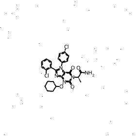 C[C@H](C(N)=O)n1c(=O)c2c(nc(-c3ccccc3Cl)n2-c2ccc(Cl)cc2)n(OC2CCCCC2)c1=O